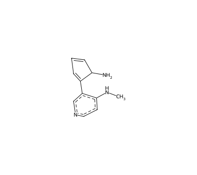 CNc1ccncc1C1=CC=CC1N